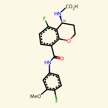 COc1cc(NC(=O)c2ccc(F)c3c2OCC[C@@H]3NC(=O)O)ccc1F